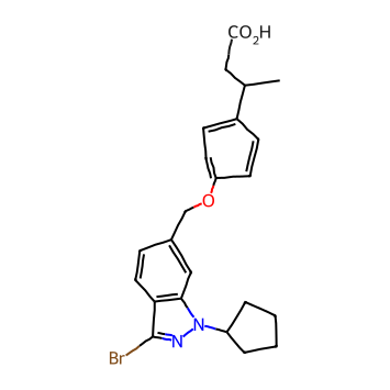 CC(CC(=O)O)c1ccc(OCc2ccc3c(Br)nn(C4CCCC4)c3c2)cc1